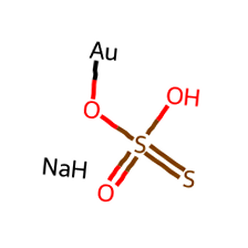 O=S(O)(=S)[O][Au].[NaH]